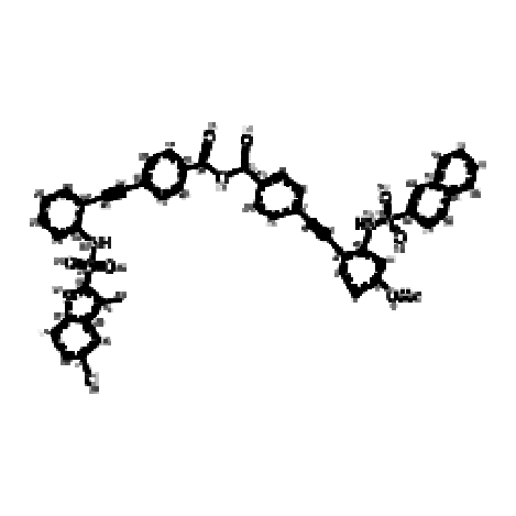 COc1ccc(C#Cc2ccc(C(=O)OC(=O)c3ccc(C#Cc4ccccc4NS(=O)(=O)c4sc5ccc(Cl)cc5c4C)cc3)cc2)c(NS(=O)(=O)c2ccc3ccccc3c2)c1